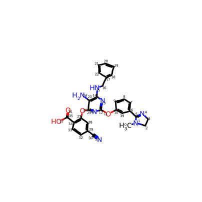 CN1CCN=C1c1cccc(Oc2nc(NCc3ccccc3)c(N)c(Oc3cc(C#N)ccc3C(=O)O)n2)c1